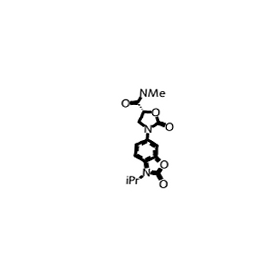 CNC(=O)[C@H]1CN(c2ccc3c(c2)oc(=O)n3C(C)C)C(=O)O1